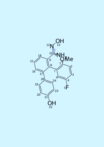 COc1ccc(F)cc1-c1c(/C(N)=N/O)cccc1-c1ccc(O)cc1